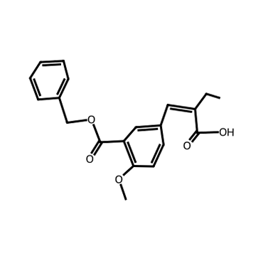 CCC(=Cc1ccc(OC)c(C(=O)OCc2ccccc2)c1)C(=O)O